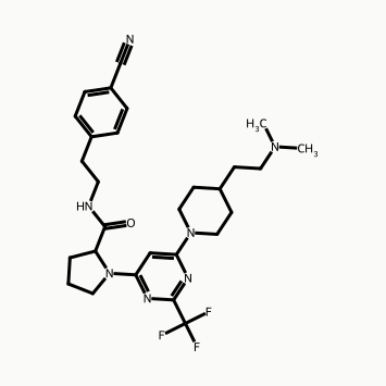 CN(C)CCC1CCN(c2cc(N3CCCC3C(=O)NCCc3ccc(C#N)cc3)nc(C(F)(F)F)n2)CC1